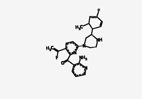 C=C(F)c1ccc(N2CCNC(C3C=CC(F)=CC3C)C2)nc1C(=O)c1cccnc1N